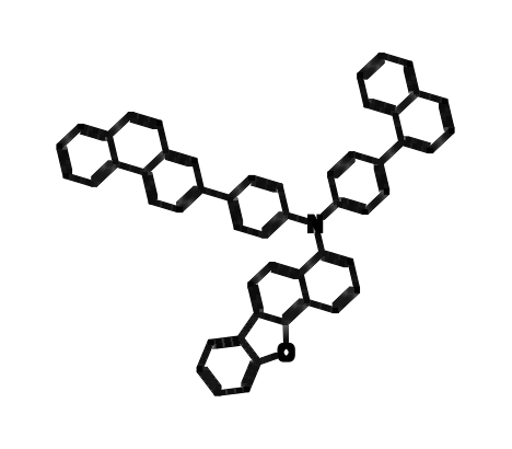 c1ccc2c(-c3ccc(N(c4ccc(-c5ccc6c(ccc7ccccc76)c5)cc4)c4cccc5c4ccc4c6ccccc6oc54)cc3)cccc2c1